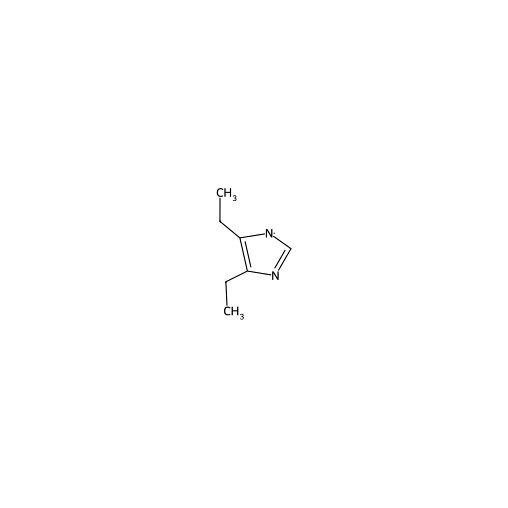 CCC1=C(CC)N=C[N]1